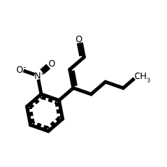 CCCCC(=CC=O)c1ccccc1[N+](=O)[O-]